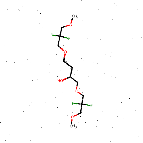 COCC(F)(F)COCCC(O)COCC(F)(F)COC